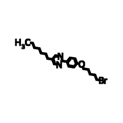 CCCCCCCc1cnc(-c2ccc(OCCCCCBr)cc2)nc1